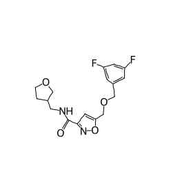 O=C(NCC1CCOC1)c1cc(COCc2cc(F)cc(F)c2)on1